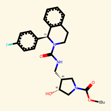 CC(C)(C)OC(=O)N1C[C@@H](CNC(=O)N2CCc3ccccc3[C@@H]2c2ccc(F)cc2)[C@@H](O)C1